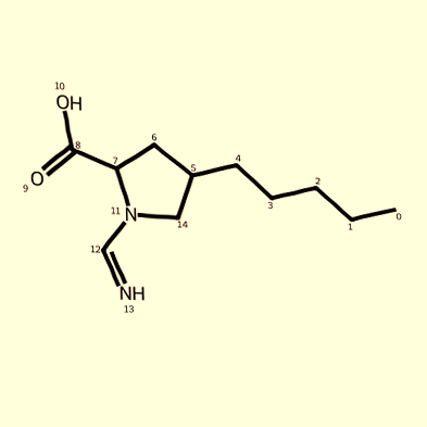 CCCCCC1CC(C(=O)O)N(C=N)C1